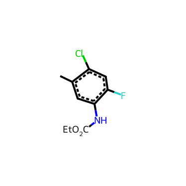 CCOC(=O)Nc1cc(C)c(Cl)cc1F